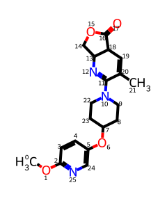 COc1ccc(OC2CCN(C3=NC4COC(=O)C4C=C3C)CC2)cn1